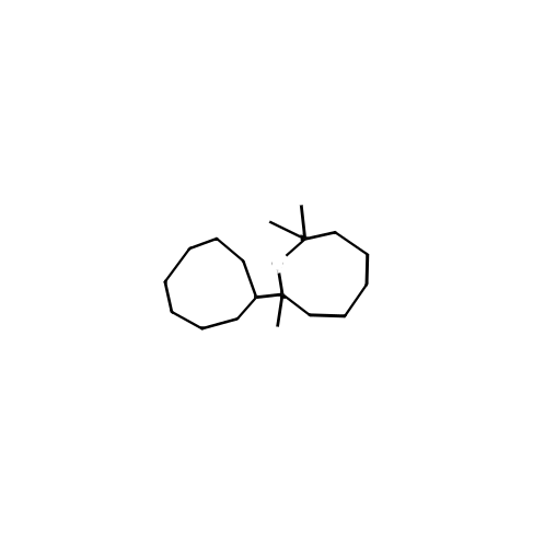 CC1(C)CCCCCC(C)(C2CCCCCCC2)O1